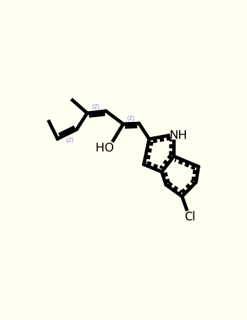 C\C=C/C(C)=C\C(O)=C\c1cc2cc(Cl)ccc2[nH]1